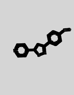 O=[C]c1ccc(C2=NOC(c3ccncc3)C2)cc1